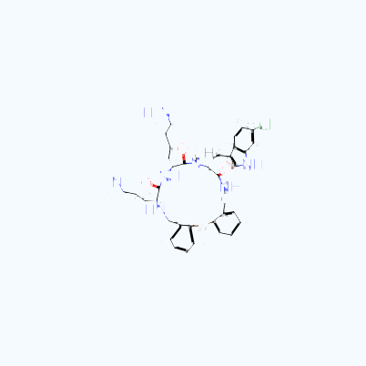 CN1C(=O)[C@H](CCCCN)NC(=O)[C@H](CCCN)NCc2ccccc2Sc2ccccc2CNC(=O)[C@@H]1Cc1c[nH]c2cc(Cl)ccc12